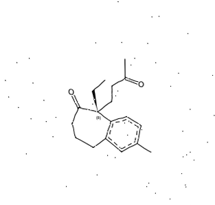 CC[C@]1(CCC(C)=O)C(=O)CCCc2cc(C)ccc21